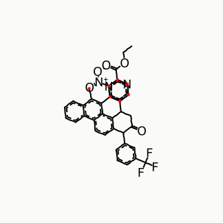 CCOC(=O)c1nccc(-c2c(C)c3ccccc3c3ccc4c(c23)C(c2cccc([N+](=O)[O-])c2)CC(=O)C4c2cccc(C(F)(F)F)c2)n1